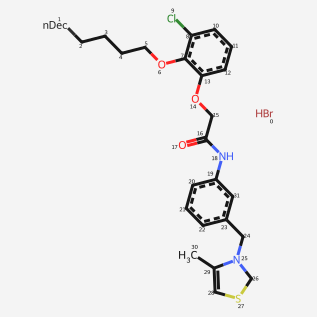 Br.CCCCCCCCCCCCCCOc1c(Cl)cccc1OCC(=O)Nc1cccc(CN2CSC=C2C)c1